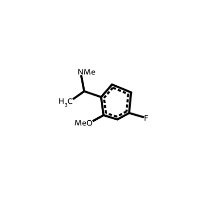 CNC(C)c1ccc(F)cc1OC